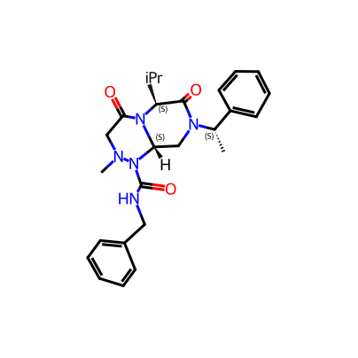 CC(C)[C@H]1C(=O)N([C@@H](C)c2ccccc2)C[C@H]2N1C(=O)CN(C)N2C(=O)NCc1ccccc1